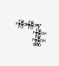 C[S+](C)C.O=S(=O)(O)C(F)(F)F.O=S(=O)(O)C(F)(F)F.O=S(=O)(O)C(F)(F)F.O=S(=O)(O)C(F)(F)F.[O]=[Al][O-]